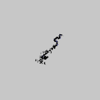 CC/C=C\C/C=C\C/C=C\C/C=C\C/C=C\C/C=C\CCC(=O)NCCOCCNC(=O)C[C@H](O)C[C@H](O)/C=C/c1c(-c2ccc(F)cc2)nc(N(C)S(C)(=O)=O)nc1C(C)C